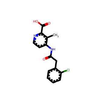 Cc1c(NC(=O)Cc2ccccc2Cl)ccnc1C(=O)O